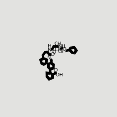 CC(C)(CC(=O)N[C@@H]1CCc2ccccc2N(Cc2ccc(-c3ccccc3C(=O)O)cc2)C1=O)NC(=O)OCc1ccccc1